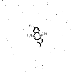 Cl.NC1=Nc2cc(Cl)ccc2Nc2ccc(C(F)(F)F)cc21